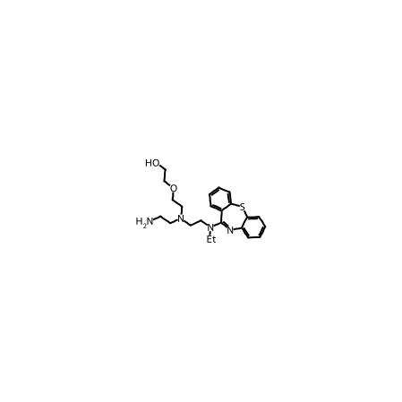 CCN(CCN(CCN)CCOCCO)C1=Nc2ccccc2Sc2ccccc21